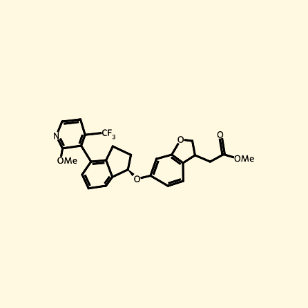 COC(=O)CC1COc2cc(O[C@@H]3CCc4c(-c5c(C(F)(F)F)ccnc5OC)cccc43)ccc21